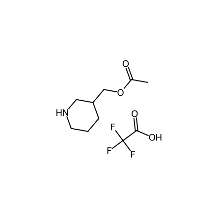 CC(=O)OCC1CCCNC1.O=C(O)C(F)(F)F